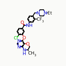 CCN1CCN(Cc2ccc(NC(=O)c3ccc(Cl)c(Oc4ncnc5c4OC[C@@H](C)N5)c3)cc2C(F)(F)F)CC1